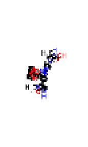 Cn1cc(-c2ccc3nc(N4CCC(N5CCC(C)(NC(=O)O)CC5)CC4)nc(C(COC4CCCCO4)(OC4CC4)c4cccc5ccccc45)c3c2)c2cc[nH]c2c1=O